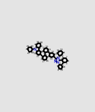 c1ccc(-c2ccccc2-c2nnc(-c3ccc(-c4ccccc4-c4ccccc4-c4ccc5c(c4)c4ccccc4n5-c4ccccc4)cc3)n2-c2ccccc2)cc1